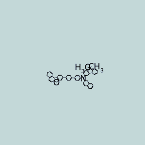 CC1(C)c2ccc(N(c3ccc(-c4ccc(-c5ccc6c(c5)OC5C=CC7=C(C=CCC7)C65)cc4)cc3)C3C=Cc4ccccc4C3)cc2C2C=CC=CC21